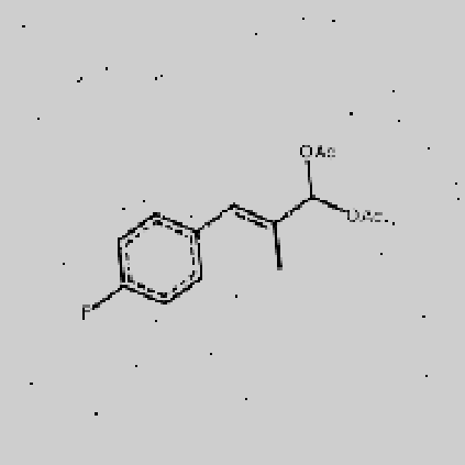 CC(=O)OC(OC(C)=O)/C(C)=C/c1ccc(F)cc1